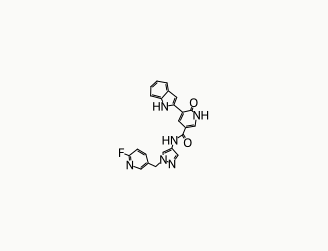 O=C(Nc1cnn(Cc2ccc(F)nc2)c1)c1c[nH]c(=O)c(-c2cc3ccccc3[nH]2)c1